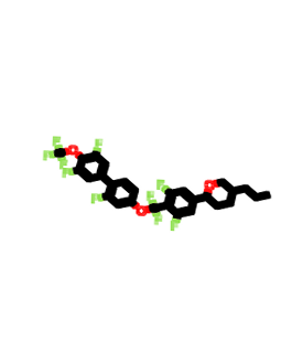 CCCC1CCC(c2cc(F)c(C(F)(F)Oc3ccc(-c4cc(F)c(OC(F)(F)F)c(F)c4)c(F)c3)c(F)c2)OC1